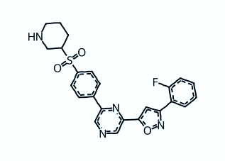 O=S(=O)(c1ccc(-c2cncc(-c3cc(-c4ccccc4F)no3)n2)cc1)C1CCCNC1